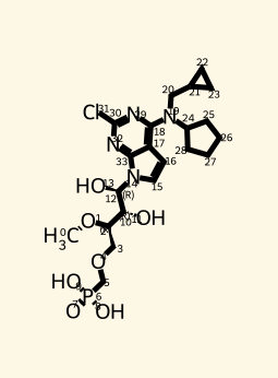 CO[C@H](COCP(=O)(O)O)[C@@H](O)[C@@H](O)n1ccc2c(N(CC3CC3)C3CCCC3)nc(Cl)nc21